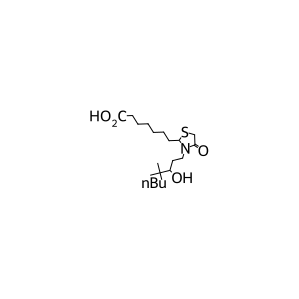 CCCCC(C)(C)C(O)CCN1C(=O)CSC1CCCCCCC(=O)O